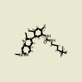 CNc1cc2nc(C)c(-c3cc(NC(=O)NCCCC(F)(F)F)c(F)cc3C)cc2cn1